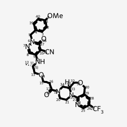 COc1ccc(Cn2ncc(N[C@@H](C)COCCC(=O)N3CCN4c5ncc(C(F)(F)F)cc5COC[C@H]4C3)c(C#N)c2=O)cc1